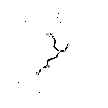 CCONCCN(CO)CCN